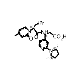 Cc1ccn([C@@H](CC(C)C)C(=O)N[C@@H](CC(=O)O)c2ccnc(N3[C@H](C)CC[C@@H]3C)c2)c(=O)c1